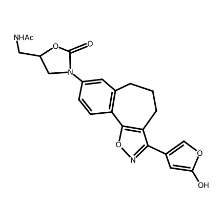 CC(=O)NCC1CN(c2ccc3c(c2)CCCc2c(-c4coc(O)c4)noc2-3)C(=O)O1